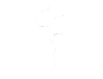 CCCCNC(=O)C1C=CCNC1N